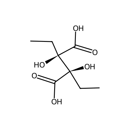 CC[C@](O)(C(=O)O)[C@](O)(CC)C(=O)O